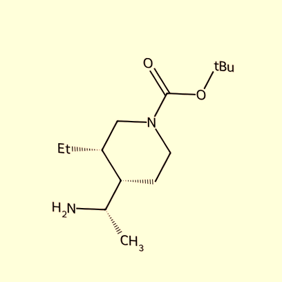 CC[C@@H]1CN(C(=O)OC(C)(C)C)CC[C@@H]1[C@H](C)N